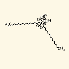 CCCCCCCCCCCCCCCC(CCCCCCCCCCCCCCC)(C(=O)[O-])C(C(=O)[O-])S(=O)(=O)O.[K+].[K+]